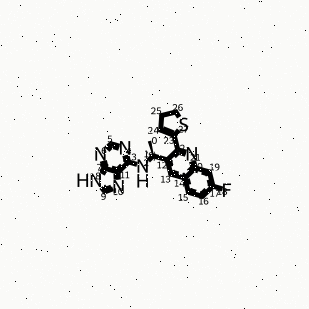 C[C@H](Nc1ncnc2[nH]cnc12)c1cc2ccc(F)cc2nc1C1=CCCS1